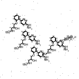 CC(C)(C)NCC(O)COc1ccccc1-c1ccc(NN)nn1.CC(C)(C)NCC(O)COc1ccccc1-c1ccc(NN)nn1.CC(C)(C)NCC(O)COc1ccccc1-c1ccc(NN)nn1.CC(C)(C)NCC(O)COc1ccccc1-c1ccc(NN)nn1.O.O=S(=O)(O)O.O=S(=O)(O)O